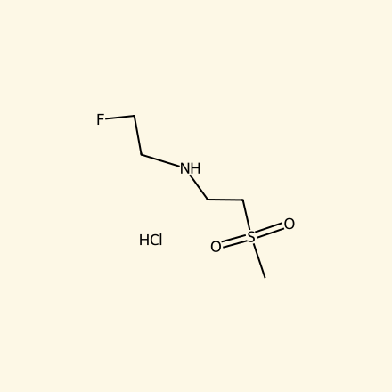 CS(=O)(=O)CCNCCF.Cl